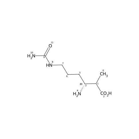 CC(C(=O)O)[C@H](N)CCCNC(N)=O